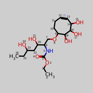 CCOC(=O)NC(COC1CC/C=C\C(O)C(O)C1O)C(O)CC(O)CC